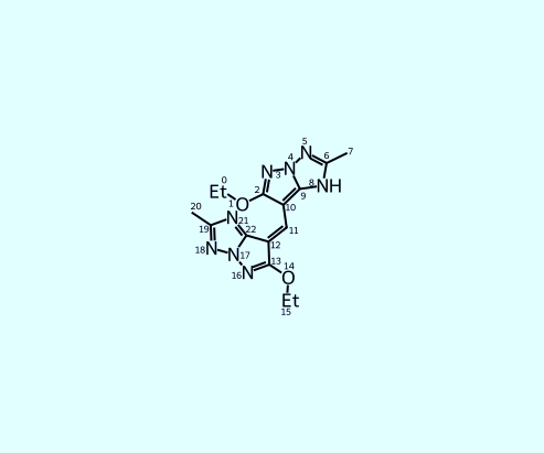 CCOc1nn2nc(C)[nH]c2c1/C=c1/c(OCC)nn2nc(C)nc12